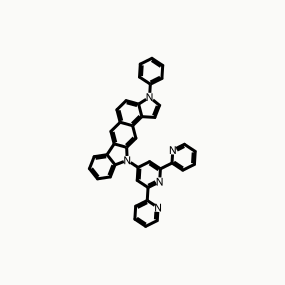 c1ccc(-n2ccc3c4cc5c(cc4ccc32)c2ccccc2n5-c2cc(-c3ccccn3)nc(-c3ccccn3)c2)cc1